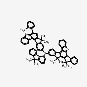 Cc1ccccc1-c1cc2c(c3c1oc1ccccc13)-c1ccc(N(c3ccc4c(c3)C(C)(C)c3c5c(c6oc7ccccc7c6c3-4)-c3ccccc3C5(C)C)c3cccc4c3-c3ccccc3C4(C)C)cc1C2(C)C